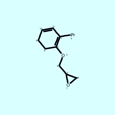 CC(C)C1=C(OCC2CO2)CCC=C1